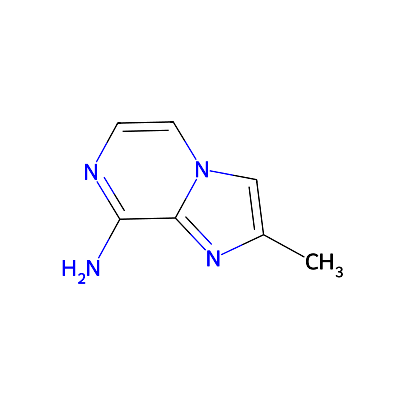 Cc1cn2ccnc(N)c2n1